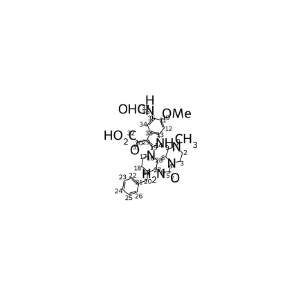 CN1CCN(C(N)=O)CC1.COc1cc2[nH]c(N3CCC(Cc4ccccc4)CC3)c(C(=O)C(=O)O)c2cc1NC=O